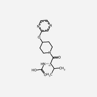 CC(C)[C@H](NC(=O)O)C(=O)N1CCC(Oc2cnccn2)CC1